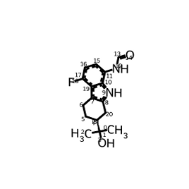 CC(C)(O)[C@H]1CCc2c([nH]c3c(NC=O)ccc(F)c23)C1